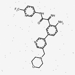 N=C(C(=O)Nc1ccc(C(F)(F)F)nc1)c1cc(-c2cncc(CN3CCOCC3)c2)ccc1N